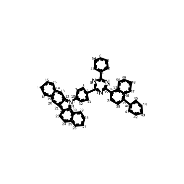 c1ccc(-c2nc(-c3ccc(-n4c5cc6ccccc6cc5c5ccc6ccccc6c54)cc3)nc(-c3ccc(-c4ccccc4)c4ccccc34)n2)cc1